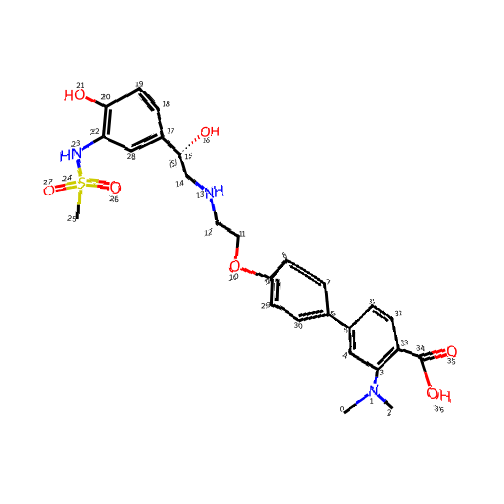 CN(C)c1cc(-c2ccc(OCCNC[C@@H](O)c3ccc(O)c(NS(C)(=O)=O)c3)cc2)ccc1C(=O)O